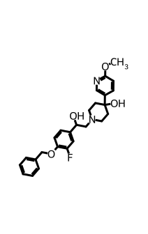 COc1ccc(C2(O)CCN(CC(O)c3ccc(OCc4ccccc4)c(F)c3)CC2)cn1